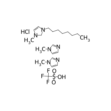 CCCCCCCCN1C=CN(C)C1.Cl.Cn1ccnc1.Cn1ccnc1.O=S(=O)(O)C(F)(F)F